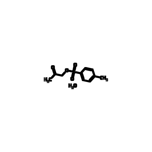 CC(=O)COS(=O)(=O)c1ccc(C)cc1.O